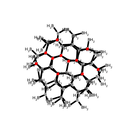 BB(B)B(B(B)B)B(B(B)B)B(B(B(B)B)B(B)B)B(B(B(B(B(B)B)B(B)B)B(B(B)B)B(B)B)B(B(B(B)B)B(B)B)B(B(B)B)B(B)B)B(B(B(B(B(B)B)B(B)B)B(B(B)B)B(B)B)B(B(B(B)B)B(B)B)B(B(B)B)B(B)B)B(B(B(B(B)B)B(B)B)B(B(B)B)B(B)B)B(B(B(B)B)B(B)B)B(B(B)B)B(B)B